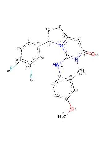 COc1ccc(Nc2nc(=O)cc3n2C(c2ccc(F)c(F)c2)CC3)c(C)c1